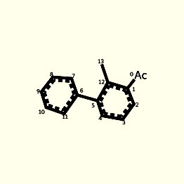 CC(=O)c1cccc(-c2ccccc2)c1C